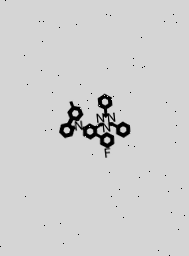 Cc1ccc2c(c1)c1ccccc1n2-c1ccc(-c2cccc(F)c2)c(-c2nc(-c3ccccc3)nc(-c3ccccc3)n2)c1